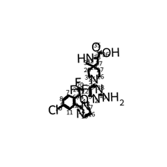 Nc1nc(O[C@H](c2ccc(Cl)cc2-c2ncccn2)C(F)(F)F)cc(N2CCC3(CC2)CNC(C(=O)O)C3)n1